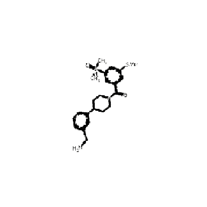 CSc1cc(C(=O)N2CCC(c3cccc(CN)c3)CC2)cc([SH](C)(C)=O)c1